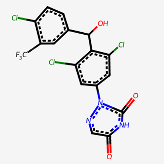 O=c1cnn(-c2cc(Cl)c(C(O)c3ccc(Cl)c(C(F)(F)F)c3)c(Cl)c2)c(=O)[nH]1